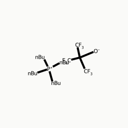 CCCC[P+](CCCC)(CCCC)CCCC.[O-]C(C(F)(F)F)(C(F)(F)F)C(F)(F)F